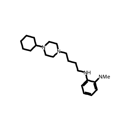 CNc1ccccc1NCCCCN1CCN(C2CCCCC2)CC1